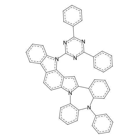 c1ccc(-c2nc(-c3ccccc3)nc(-n3c4ccccc4c4ccc5c(cc6n5-c5ccccc5N(c5ccccc5)c5ccccc5-6)c43)n2)cc1